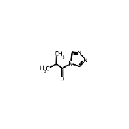 CC(C)C(=O)n1cnnc1